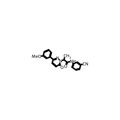 COc1cccc(-c2ccc(=O)n(C(C)C(=O)Nc3cccc(C#N)c3)n2)c1